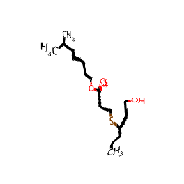 CCCC(CCO)SCCC(=O)OCCCCCC(C)C